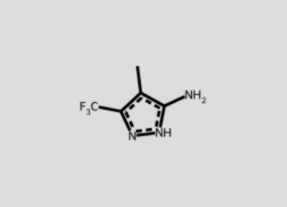 Cc1c(C(F)(F)F)n[nH]c1N